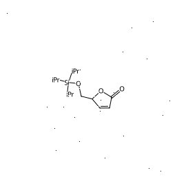 CC(C)[Si](OCC1C=CC(=O)O1)(C(C)C)C(C)C